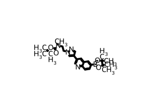 CN(CCn1cc(-c2cnc3ccc(B4OC(C)(C)C(C)(C)O4)cc3c2)cn1)C(=O)OC(C)(C)C